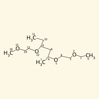 CCOCCOC(C)CC(CC)OCCOC